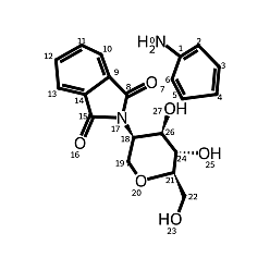 Nc1ccccc1.O=C1c2ccccc2C(=O)N1[C@@H]1[CH]O[C@H](CO)[C@@H](O)[C@@H]1O